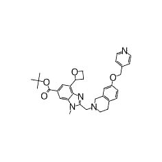 Cn1c(CN2CCc3ccc(OCc4ccncc4)cc3C2)nc2c(C3CCO3)cc(C(=O)OC(C)(C)C)cc21